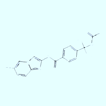 CCC(=O)NC(C)(C)c1ccc(C(=O)Nc2cn3cc(Cl)ccc3n2)cc1